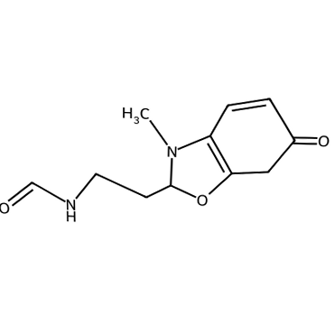 CN1C2=C(CC(=O)C=C2)OC1CCNC=O